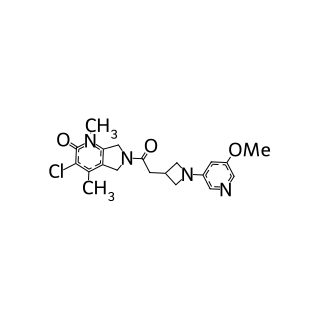 COc1cncc(N2CC(CC(=O)N3Cc4c(C)c(Cl)c(=O)n(C)c4C3)C2)c1